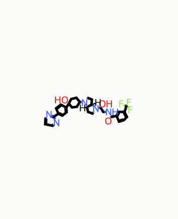 O=C(NCC(O)N1CC[C@H]2[C@@H]1CCN2C1CCC(O)(c2ccc(-c3ncccn3)cc2)CC1)c1cccc(C(F)(F)F)c1